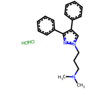 CN(C)CCCn1cc(-c2ccccc2)c(-c2ccccc2)n1.Cl.Cl